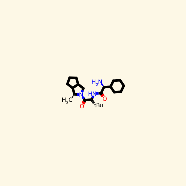 C[C@@H]1C2CCCC2CN1C(=O)C(NC(=O)[C@@H](N)C1CCCCC1)C(C)(C)C